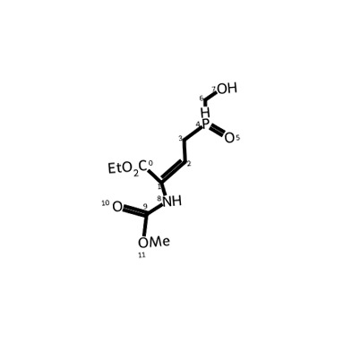 CCOC(=O)/C(=C\C[PH](=O)CO)NC(=O)OC